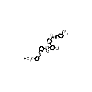 O=C(O)c1cccc(SCc2cccc(C(=O)Nc3ccc(Cl)cc3-c3cc(C(=O)NCc4cccc(C(F)(F)F)c4)ccn3)c2)c1